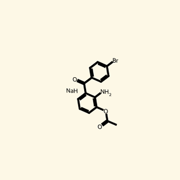 CC(=O)Oc1cccc(C(=O)c2ccc(Br)cc2)c1N.[NaH]